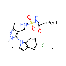 CCCCCC(=O)NS(=O)(=O)NCc1c(C)nn(C)c1-n1ccc2cc(Cl)ccc21